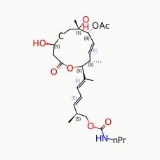 CCCNC(=O)OC[C@@H](C)/C=C/C=C(\C)[C@H]1OC(=O)C[C@@H](O)CC[C@](C)(O)[C@H](OC(C)=O)/C=C/[C@@H]1C